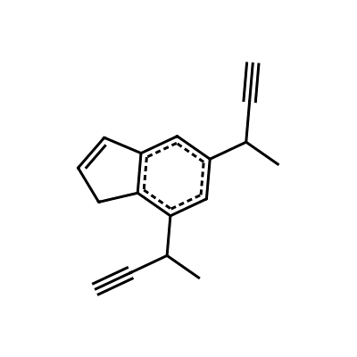 C#CC(C)c1cc2c(c(C(C)C#C)c1)CC=C2